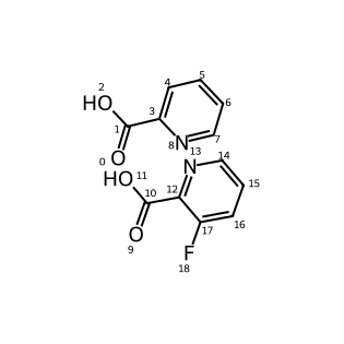 O=C(O)c1ccccn1.O=C(O)c1ncccc1F